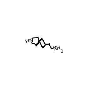 NCCC1CC2(CCNCC2)C1